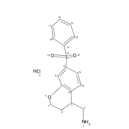 Cl.NCC1CCOc2cc(S(=O)(=O)c3ccccc3)ccc21